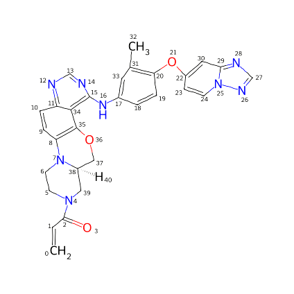 C=CC(=O)N1CCN2c3ccc4ncnc(Nc5ccc(Oc6ccn7ncnc7c6)c(C)c5)c4c3OC[C@H]2C1